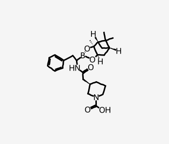 CC1(C)[C@@H]2C[C@H]3OB(C(Cc4ccccc4)NC(=O)C[C@H]4CCCN(C(=O)O)C4)O[C@@]3(C)[C@H]1C2